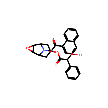 O=C(CN1C2CC(OC(=O)C(CO)c3ccccc3)CC1C1OC12)c1cccc2ccccc12